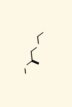 CCOC(=O)COCC(C)=O